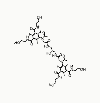 CC(=O)N(CC(=O)NCC(O)CNC(=O)CN(C(C)=O)c1c(I)c(C(=O)NCCO)c(I)c(C(=O)NCCO)c1I)c1c(I)c(C(=O)NCCO)c(I)c(C(=O)NCCO)c1I